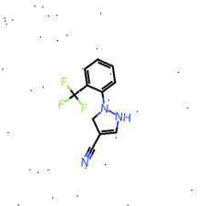 N#CC1=CNN(c2ccccc2C(F)(F)F)C1